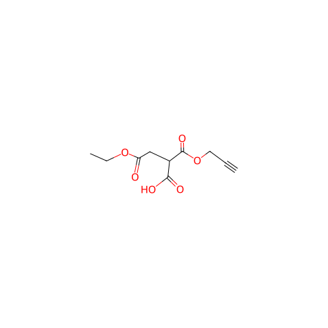 C#CCOC(=O)C(CC(=O)OCC)C(=O)O